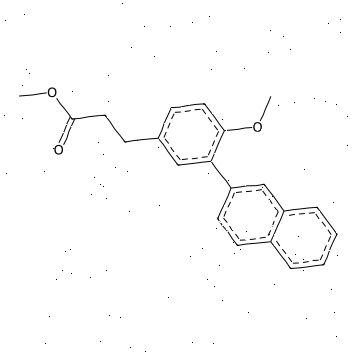 COC(=O)CCc1ccc(OC)c(-c2ccc3ccccc3c2)c1